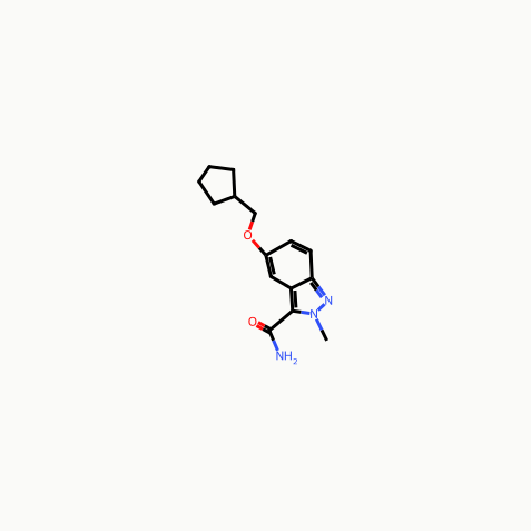 Cn1nc2ccc(OCC3CCCC3)cc2c1C(N)=O